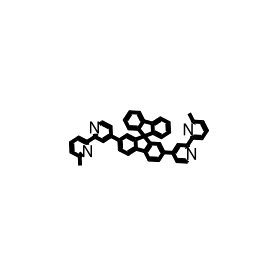 Cc1cccc(-c2cc(-c3ccc4c(c3)C3(c5ccccc5-c5ccccc53)c3cc(-c5ccnc(-c6cccc(C)n6)c5)ccc3-4)ccn2)n1